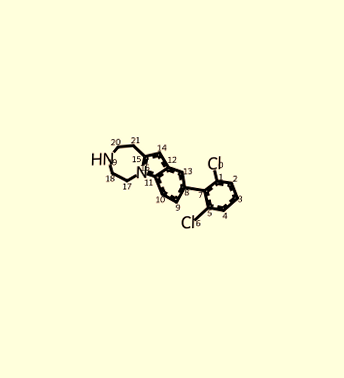 Clc1cccc(Cl)c1-c1ccc2c(c1)cc1n2CCNCC1